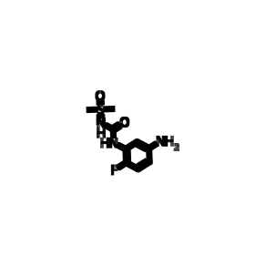 C[SH](C)(=O)NC(=O)Nc1cc(N)ccc1F